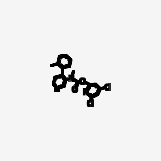 Cc1ccccc1-c1ccncc1N(C)C(=O)Oc1cc(Cl)cc(Cl)n1